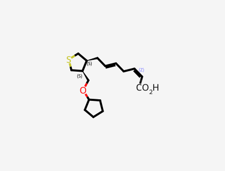 O=C(O)/C=C\CC=CC[C@@H]1CSC[C@@H]1COC1CCCC1